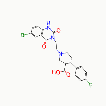 O=C(O)C1CN(CCn2c(=O)[nH]c3ccc(Br)cc3c2=O)CCC1c1ccc(F)cc1